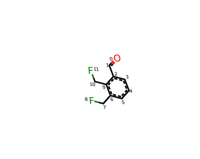 O=Cc1cccc(CF)c1CF